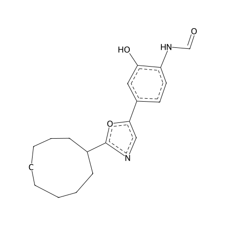 O=CNc1ccc(-c2cnc(C3CCCCCCCC3)o2)cc1O